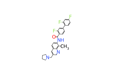 Cc1c(NC(=O)c2ccc(-c3ccc(F)cc3F)cc2F)ccc2cc(CN3CCCC3)cnc12